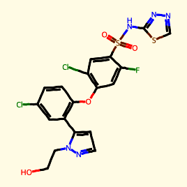 O=S(=O)(Nc1nncs1)c1cc(Cl)c(Oc2ccc(Cl)cc2-c2ccnn2CCO)cc1F